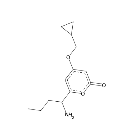 CCCC(N)c1cc(OCC2CC2)cc(=O)o1